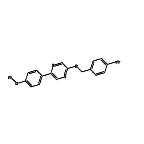 CCCc1ccc(COc2cnc(-c3ccc(OCC)cc3)cn2)cc1